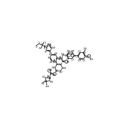 CCC(C)(C)n1cc(-c2ccnc(N(CC34CCC(c5ccc(OC)c(C)c5)(CC3)CC4)C(=O)[C@H]3CC[C@H](OC(=O)N4CC(C)(C)C4)CC3)c2)cn1